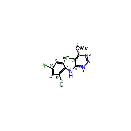 COc1ncnc(Nc2ccc(F)cc2F)c1F